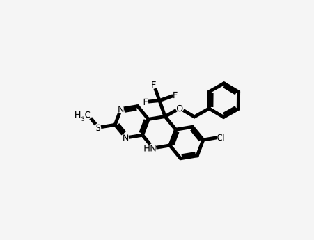 CSc1ncc2c(n1)Nc1ccc(Cl)cc1C2(OCc1ccccc1)C(F)(F)F